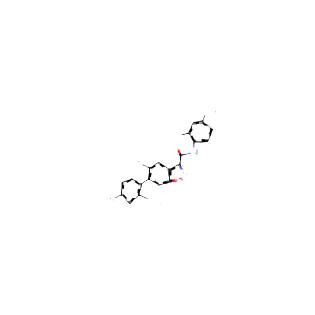 N#Cc1ccc(NC(=O)c2noc3cc(-c4ccc([N+](=O)[O-])cc4C(F)(F)F)c([N+](=O)[O-])cc23)c(C(=O)O)c1